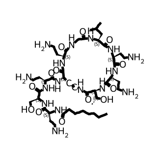 CCCCCCCC(=O)N[C@@H](CCN)C(=O)N[C@@H](CO)C(=O)N[C@@H](CCN)C(=O)N[C@H]1CCNC(=O)[C@H]([C@@H](C)O)NC(=O)[C@H](CCN)NC(=O)[C@H](CCN)NC(=O)[C@H](CC(C)C)NC(=O)CNC(=O)[C@H](CCN)NC1=O